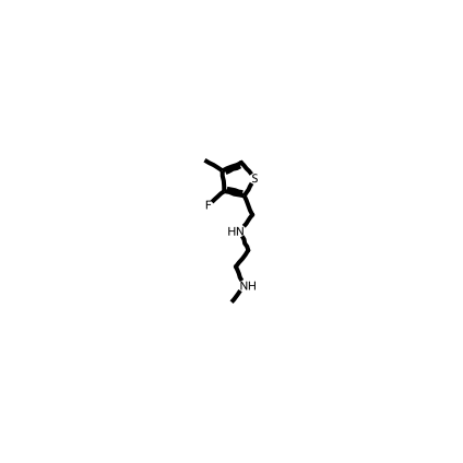 CNCCNCc1scc(C)c1F